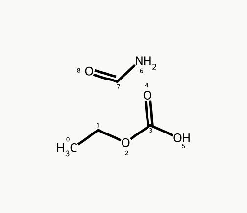 CCOC(=O)O.NC=O